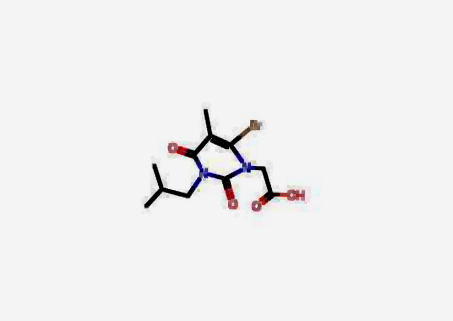 Cc1c(Br)n(CC(=O)O)c(=O)n(CC(C)C)c1=O